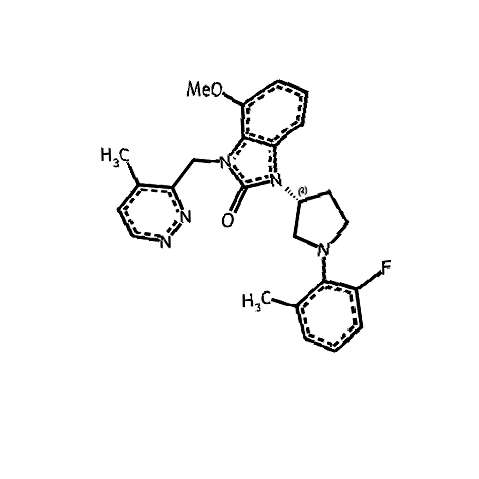 COc1cccc2c1n(Cc1nnccc1C)c(=O)n2[C@@H]1CCN(c2c(C)cccc2F)C1